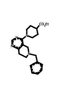 CCOC(=O)C1CCN(c2ncnc3c2CN(Cc2ccccc2)CC3)CC1